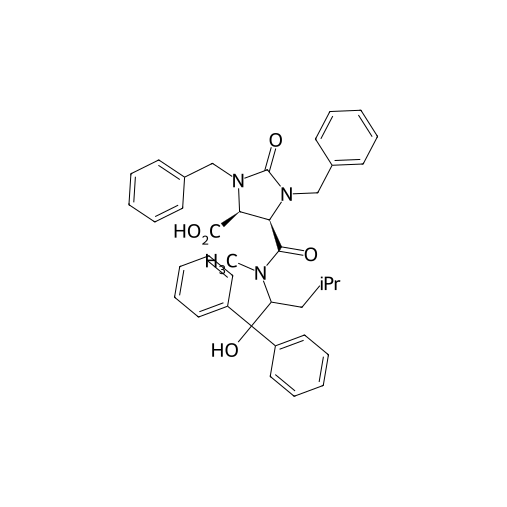 CC(C)CC(N(C)C(=O)[C@H]1[C@@H](C(=O)O)N(Cc2ccccc2)C(=O)N1Cc1ccccc1)C(O)(c1ccccc1)c1ccccc1